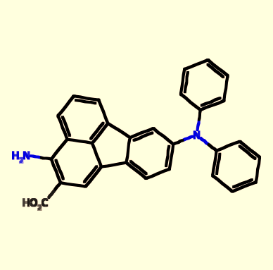 Nc1c(C(=O)O)cc2c3c(cccc13)-c1cc(N(c3ccccc3)c3ccccc3)ccc1-2